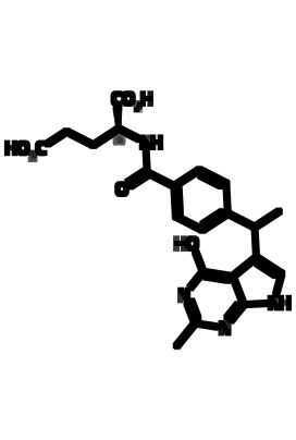 Cc1nc(O)c2c(C(C)c3ccc(C(=O)N[C@@H](CCC(=O)O)C(=O)O)cc3)c[nH]c2n1